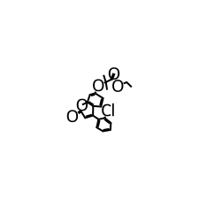 CCOC(=O)C(C)(C)Oc1ccc2c(-c3ccccc3Cl)cc(=O)oc2c1